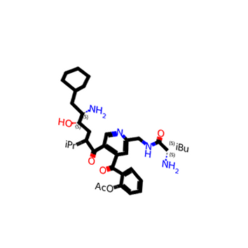 CC[C@H](C)[C@H](N)C(=O)NCc1cc(C(=O)c2ccccc2OC(C)=O)c(C(=O)C(C[C@H](O)[C@@H](N)CC2CCCCC2)C(C)C)cn1